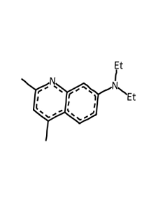 CCN(CC)c1ccc2c(C)cc(C)nc2c1